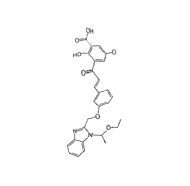 CCOC(C)n1c(COc2cccc(/C=C/C(=O)c3cc(Cl)cc(C(=O)O)c3O)c2)nc2ccccc21